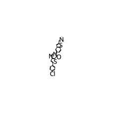 CN(C)Cc1cc2cc(-n3cnc4cc(-c5ccc(Cl)cc5)sc4c3=O)ccc2s1